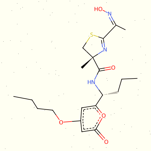 CCCCOc1cc([C@@H](CCC)NC(=O)[C@]2(C)CSC(/C(C)=N\O)=N2)oc(=O)c1